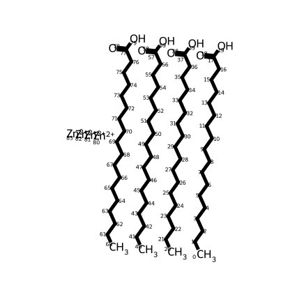 CCCCCCCCCCCCCCCCCC(=O)O.CCCCCCCCCCCCCCCCCC(=O)O.CCCCCCCCCCCCCCCCCC(=O)O.CCCCCCCCCCCCCCCCCC(=O)O.[Zn+2].[Zn+2].[Zn+2].[Zn+2]